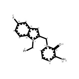 CC(C)Cn1c(Cn2ccnc(N)c2=O)cc2cc(F)ccc21